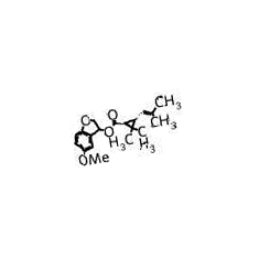 COc1ccc2c(c1)C(OC(=O)[C@H]1[C@H](C=C(C)C)C1(C)C)CO2